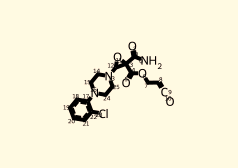 NC(=O)C1(C(=O)OCC=C=O)OC1N1CCN(c2ccccc2Cl)CC1